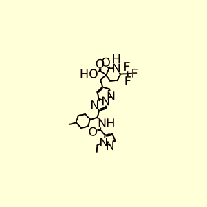 CCn1nccc1C(=O)N[C@H](c1cn2ncc(CC3(C(=O)O)CCC(C(F)(F)F)NC3=O)cc2n1)C1CCC(C)CC1